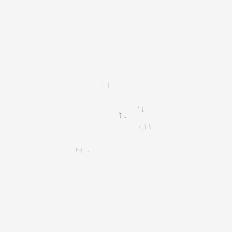 Cc1nc2cccc(Cl)c2c(=O)n1-c1ccc(O)cc1